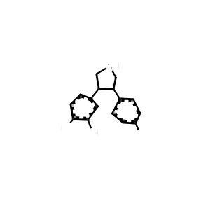 Oc1ccc(C2CNCC2c2ccc(Cl)cc2)cc1O